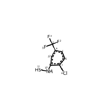 FC(F)(F)c1ccc(Cl)c(NS)c1